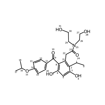 CCc1c(O)cc(O)c(C(=O)c2ccc(OC(C)C)cc2)c1CC(=O)N(CCO)CCO